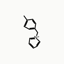 Cc1ccc(C[n+]2ccccc2)cc1